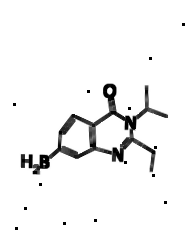 Bc1ccc2c(=O)n(C(C)C)c(CC)nc2c1